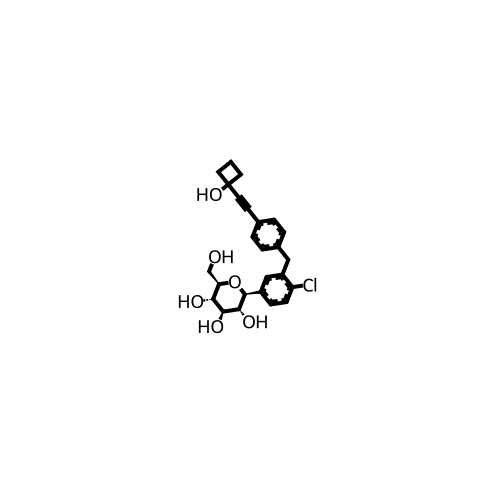 OC[C@H]1O[C@@H](c2ccc(Cl)c(Cc3ccc(C#CC4(O)CCC4)cc3)c2)[C@H](O)[C@@H](O)[C@@H]1O